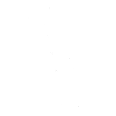 COc1cc2c(cc1Nc1ncc(Cl)c(Nc3ccccc3S(=O)(=O)C(C)C)n1)CCNC2C